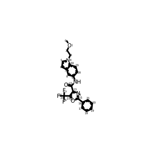 COCCn1ccc2cc(NC(=O)c3nc(-c4ccccc4)oc3C(F)(F)F)ccc21